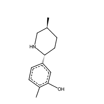 Cc1ccc([C@H]2CC[C@H](C)CN2)cc1O